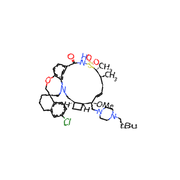 CO[C@]1(CN2CCN(CC(C)(C)C)CC2)/C=C/C[C@H](C)[C@@H](C)S(=O)(=O)NC(=O)c2ccc3c(c2)N(C[C@@H]2CC[C@H]21)C[C@@]1(CCCc2cc(Cl)ccc21)CO3